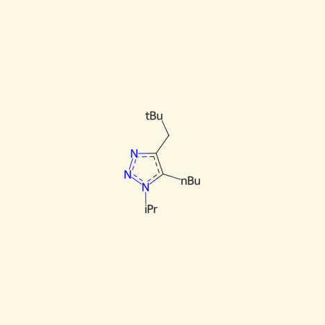 CCCCc1c(CC(C)(C)C)nnn1C(C)C